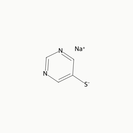 [Na+].[S-]c1cncnc1